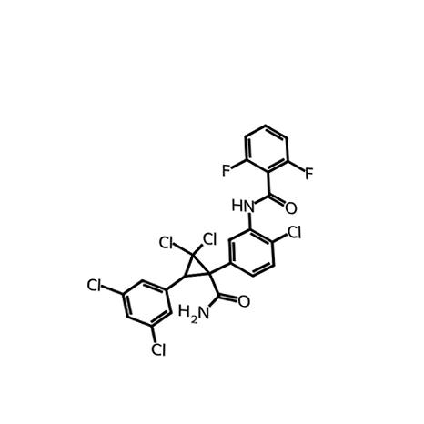 NC(=O)C1(c2ccc(Cl)c(NC(=O)c3c(F)cccc3F)c2)C(c2cc(Cl)cc(Cl)c2)C1(Cl)Cl